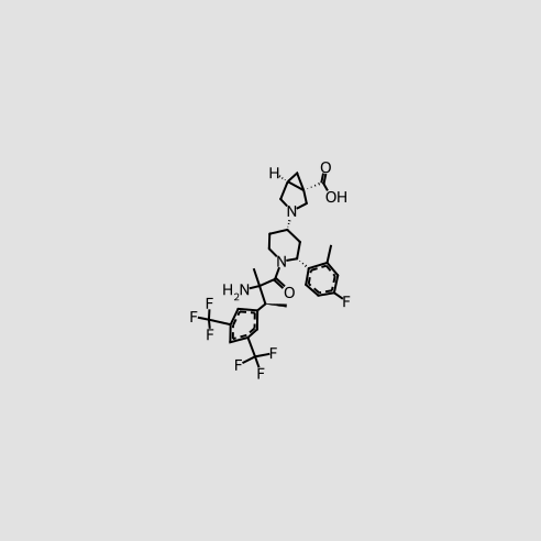 Cc1cc(F)ccc1[C@H]1C[C@@H](N2C[C@H]3C[C@@]3(C(=O)O)C2)CCN1C(=O)C(C)(N)[C@@H](C)c1cc(C(F)(F)F)cc(C(F)(F)F)c1